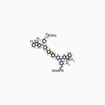 COC(=O)CCc1ccc(N(c2ccc(-c3ccc4c(c3)sc3cc(-c5ccc(N(c6ccc(CCC(=O)OC)cc6)c6ccc7c(c6)C(C)(C)c6ccccc6-7)cc5)ccc34)cc2)c2ccc3c(c2)C(C)(C)c2ccccc2-3)cc1